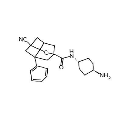 N#CC12CC3CC4(C(=O)N[C@H]5CC[C@H](N)CC5)CC(c5ccccc5)(C1)C32C4